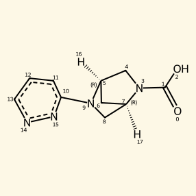 O=C(O)N1C[C@H]2C[C@@H]1CN2c1cccnn1